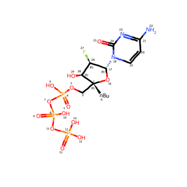 CCCC[C@]1(COP(=O)(O)OP(=O)(O)OP(=O)(O)O)O[C@@H](n2ccc(N)nc2=O)[C@H](F)[C@@H]1O